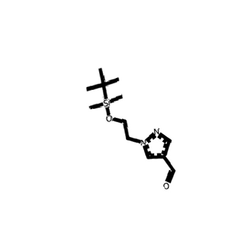 CC(C)(C)[Si](C)(C)OCCn1cc(C=O)cn1